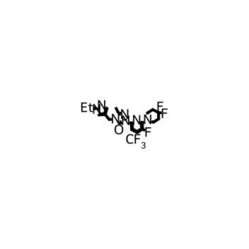 CCn1cc(Cn2c(C)nn(-c3cc(C(F)(F)F)c(F)c(N4CCC(F)(F)CC4)n3)c2=O)cn1